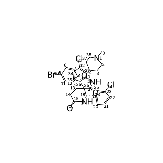 CN1CCC(Oc2ccc(Br)cc2[C@H]2CC(=O)N[C@@H](c3cccc(Cl)c3)[C@]23C(=O)Nc2cc(Cl)ccc23)CC1